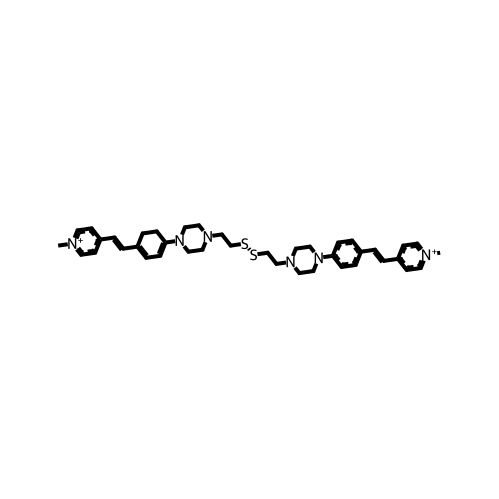 C[n+]1ccc(/C=C/C2=CC=C(N3CCN(CCSSCCN4CCN(c5ccc(/C=C/c6cc[n+](C)cc6)cc5)CC4)CC3)CC2)cc1